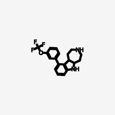 FC(F)(F)Oc1cccc(-c2cccc3c2C2CCNCCC2N3)c1